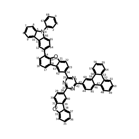 c1ccc(-n2c3ccccc3c3cc(-c4cccc5c4oc4ccc(-c6nc(-c7ccc8oc9ccccc9c8c7)nc(-c7ccc8c9ccccc9c9ccccc9c8c7)n6)cc45)ccc32)cc1